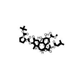 COC(=O)[C@]12C[C@@H](OC(=O)C=C(C)C)C(=O)O[C@@H]3C[C@H]4C(C)=C(OC(=O)[C@@H]5CCCN5C(=O)OC(C)(C)C)C(=O)C[C@]4(C)C([C@@H](O)[C@@H]1O)[C@@](C)(CO2)C3C